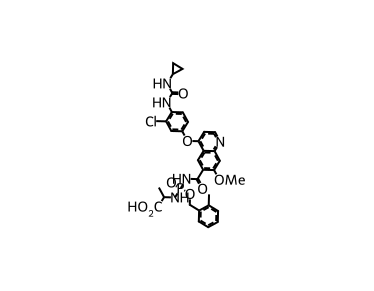 COc1cc2nccc(Oc3ccc(NC(=O)NC4CC4)c(Cl)c3)c2cc1C(=O)NP(=O)(NC(C)C(=O)O)OCc1ccccc1C